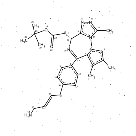 Cc1sc2c(c1C)C(c1ccc(C/C=C/CN)cc1)=N[C@H](CC(=O)OC(C)(C)C)c1nnc(C)n1-2